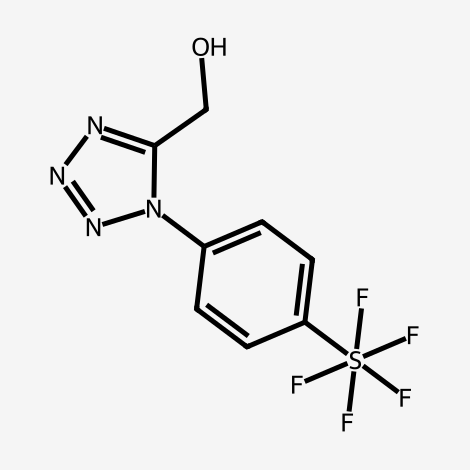 OCc1nnnn1-c1ccc(S(F)(F)(F)(F)F)cc1